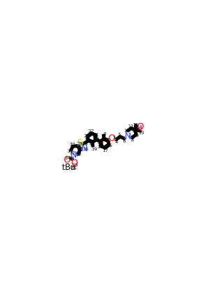 Cc1c(OCCCN2CCC3(CC2)COC3)cccc1-c1cccc(-c2nc3c(s2)CCN(C(=O)OC(C)(C)C)C3)c1C